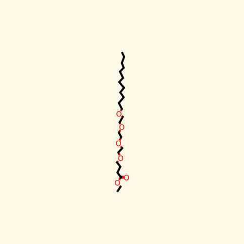 CCCCCCCCCCCCOCCOCCOCCOCCCC(=O)OCC